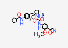 COc1cc(NC(=O)C(=O)NC(C)(C)Cc2ccc(NC(=O)C3CCCC3)cc2)ccc1-c1cnco1